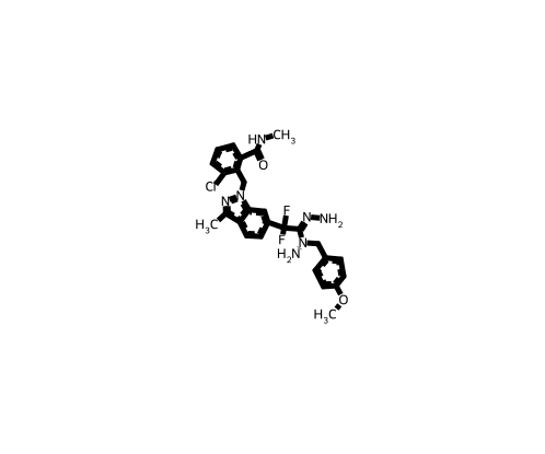 CNC(=O)c1cccc(Cl)c1Cn1nc(C)c2ccc(C(F)(F)/C(=N/N)N(N)Cc3ccc(OC)cc3)cc21